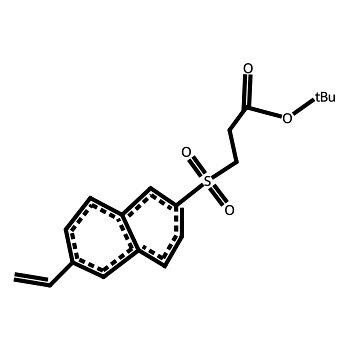 C=Cc1ccc2cc(S(=O)(=O)CCC(=O)OC(C)(C)C)ccc2c1